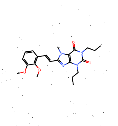 CCCn1c(=O)c2c(nc(C=Cc3cccc(OC)c3OC)n2C)n(CCC)c1=O